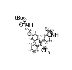 CC(C)(C)OC(=O)NCCOc1ccc(/C(=C(/CC(F)(F)F)c2ccccc2)c2ccc3[nH]nc(F)c3c2)cc1